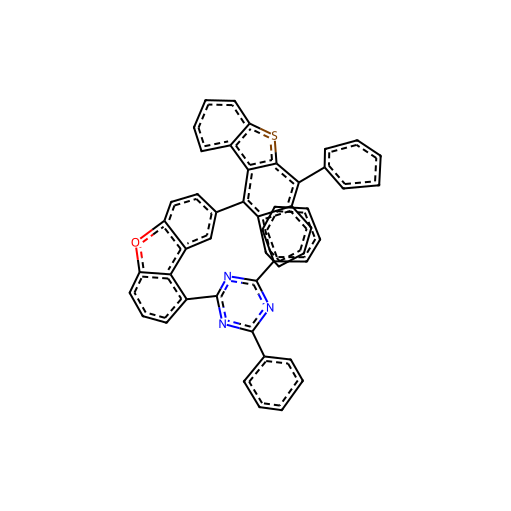 c1ccc(-c2nc(-c3ccccc3)nc(-c3cccc4oc5ccc(-c6c7ccccc7c(-c7ccccc7)c7sc8ccccc8c67)cc5c34)n2)cc1